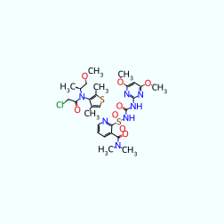 COC[C@H](C)N(C(=O)CCl)c1c(C)csc1C.COc1cc(OC)nc(NC(=O)NS(=O)(=O)c2ncccc2C(=O)N(C)C)n1